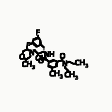 CCCN(CCC)C(=O)c1cc(C)cc(C(=O)N[C@@H](Cc2cc(F)cc(F)c2)[C@H](O)CN2CCOC(C)C2)c1